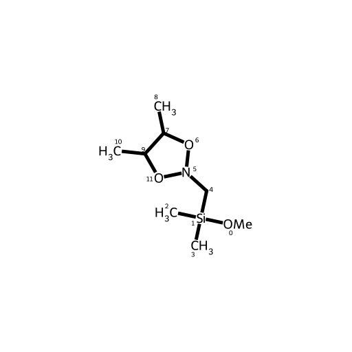 CO[Si](C)(C)CN1OC(C)C(C)O1